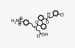 NS(=O)(=O)c1ccc(CCN(CCC(=O)O)C(=O)c2ccccc2-c2ccccc2C(=O)NCc2cccc(Cl)c2)cc1